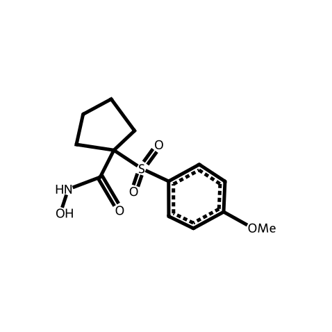 COc1ccc(S(=O)(=O)C2(C(=O)NO)CCCC2)cc1